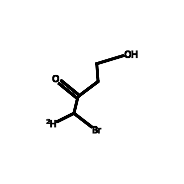 [2H]C(Br)C(=O)CCO